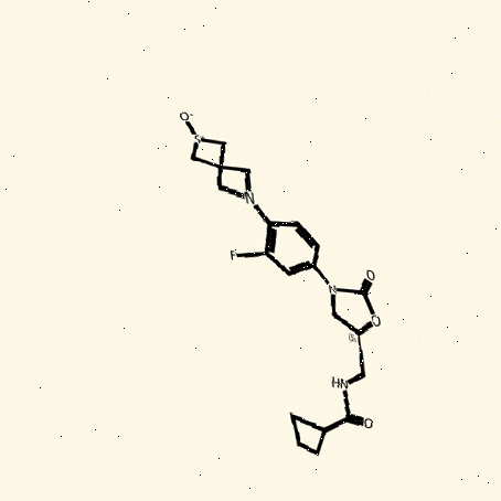 O=C(NC[C@H]1CN(c2ccc(N3CC4(C3)C[S+]([O-])C4)c(F)c2)C(=O)O1)C1CCC1